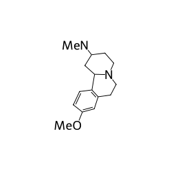 CNC1CCN2CCc3cc(OC)ccc3C2C1